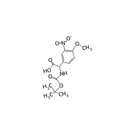 COc1ccc(C(NC(=O)OC(C)(C)C)C(=O)O)cc1[N+](=O)[O-]